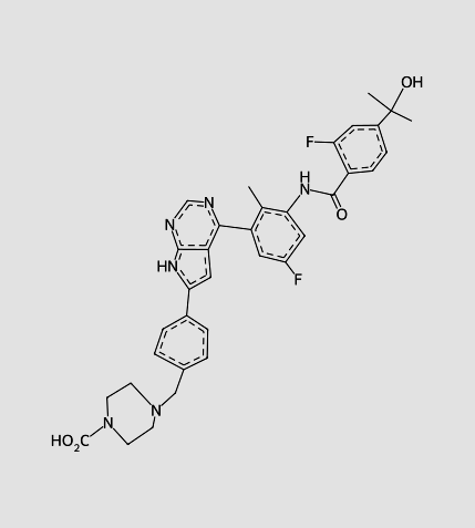 Cc1c(NC(=O)c2ccc(C(C)(C)O)cc2F)cc(F)cc1-c1ncnc2[nH]c(-c3ccc(CN4CCN(C(=O)O)CC4)cc3)cc12